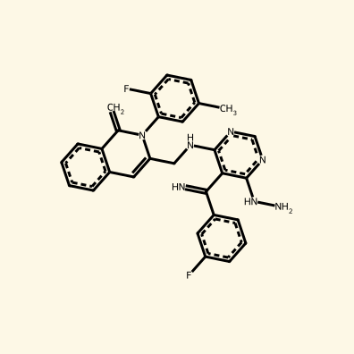 C=C1c2ccccc2C=C(CNc2ncnc(NN)c2C(=N)c2cccc(F)c2)N1c1cc(C)ccc1F